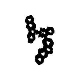 c1ccc2cc3c(cc2c1)sc1ccc(-c2nc(-n4c5ccccc5c5cc6ccccc6cc54)nc4ccccc24)cc13